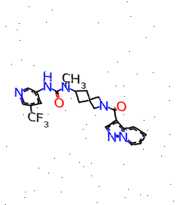 CN(C(=O)Nc1cncc(C(F)(F)F)c1)C1CC2(C1)CN(C(=O)c1cnn3ccccc13)C2